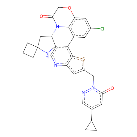 O=C1COc2cc(Cl)cc(-c3ccnc4cc(Cn5ncc(C6CC6)cc5=O)sc34)c2N1[C@@H]1CNC2(CCC2)C1